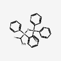 CCCC(F)[Si](O[Si](c1ccccc1)(c1ccccc1)C(F)CCC)(c1ccccc1)c1ccccc1